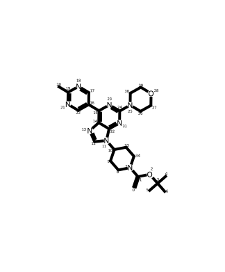 C=C(OC(C)(C)C)N1CCC(n2cnc3c(-c4cnc(C)nc4)nc(N4CCOCC4)nc32)CC1